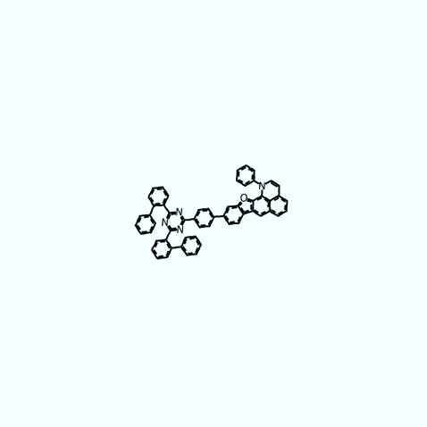 C1=CN(c2ccccc2)c2c3oc4cc(-c5ccc(-c6nc(-c7ccccc7-c7ccccc7)nc(-c7ccccc7-c7ccccc7)n6)cc5)ccc4c3cc3cccc1c23